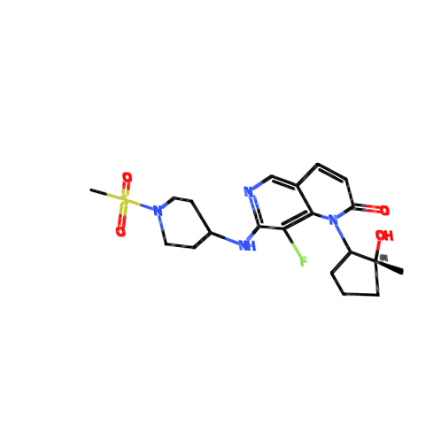 C[C@@]1(O)CCCC1n1c(=O)ccc2cnc(NC3CCN(S(C)(=O)=O)CC3)c(F)c21